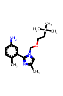 Cc1cn(COCC[Si](C)(C)C)c(-c2cc(N)ccc2C)n1